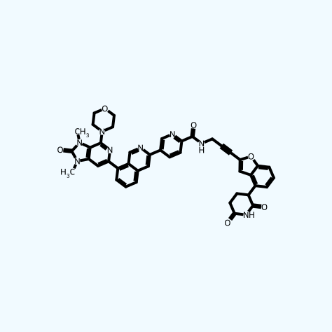 Cn1c(=O)n(C)c2c(N3CCOCC3)nc(-c3cccc4cc(-c5ccc(C(=O)NCC#Cc6cc7c(C8CCC(=O)NC8=O)cccc7o6)nc5)ncc34)cc21